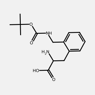 CC(C)(C)OC(=O)NCc1ccccc1CC(N)C(=O)O